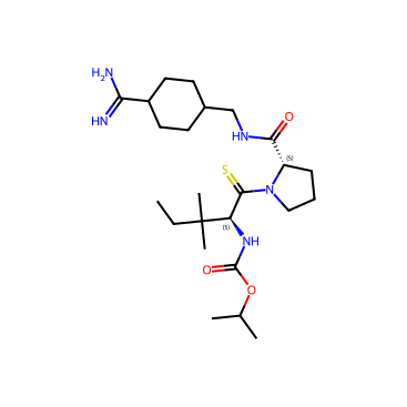 CCC(C)(C)[C@H](NC(=O)OC(C)C)C(=S)N1CCC[C@H]1C(=O)NCC1CCC(C(=N)N)CC1